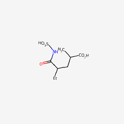 CCC(CC(C)C(=O)O)C(=O)NS(=O)(=O)O